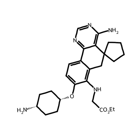 CCOC(=O)CNc1c(O[C@H]2CC[C@@H](N)CC2)ccc2c1CC1(CCCC1)c1c(N)ncnc1-2